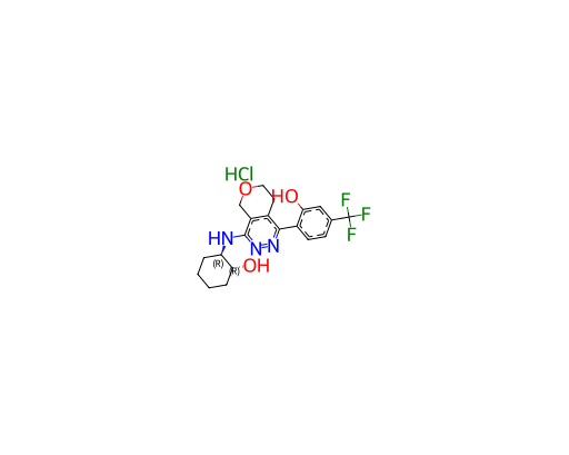 Cl.Oc1cc(C(F)(F)F)ccc1-c1nnc(N[C@@H]2CCCC[C@H]2O)c2c1CCOC2